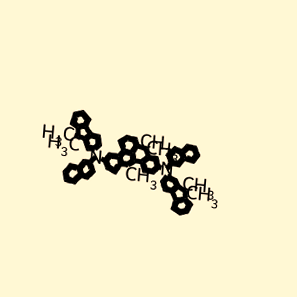 Cc1c2c3c(cccc3c3cc(N(c4ccc5c(c4)C(C)(C)c4ccccc4-5)c4ccc5ccccc5c4)ccc13)C(C)(C)c1cc(N(c3ccc4c(c3)C(C)(C)c3ccccc3-4)c3ccc4ccccc4c3)ccc1-2